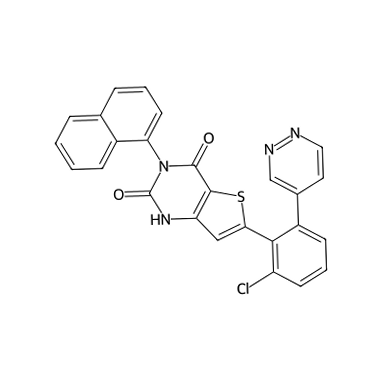 O=c1[nH]c2cc(-c3c(Cl)cccc3-c3ccnnc3)sc2c(=O)n1-c1cccc2ccccc12